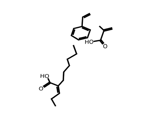 C=C(C)C(=O)O.C=Cc1ccccc1.CCC=C(CCCCCC)C(=O)O